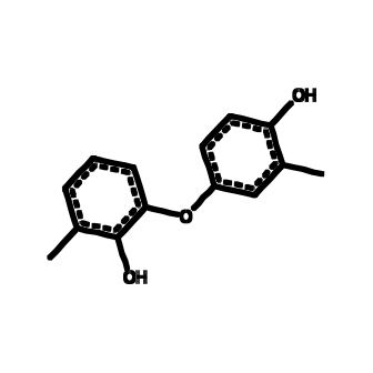 Cc1cc(Oc2cccc(C)c2O)ccc1O